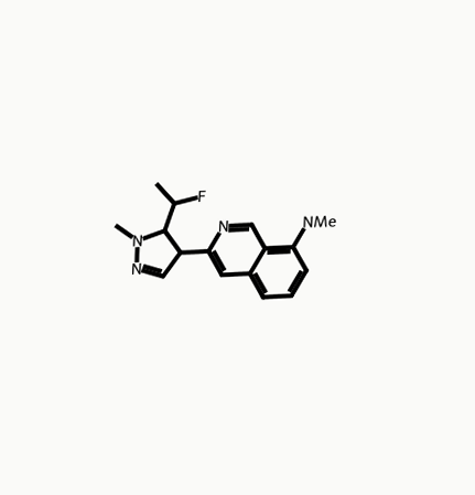 CNc1cccc2cc(C3C=NN(C)C3C(C)F)ncc12